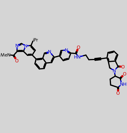 CNC(=O)c1ncn2c(C(C)C)cc(-c3cccc4cc(-c5ccc(C(=O)NCCC#Cc6cccc7c6CN(C6CCC(=O)NC6=O)C7=O)nc5)ncc34)cc12